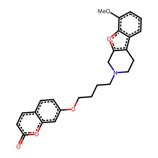 COc1cccc2c3c(oc12)CN(CCCCOc1ccc2ccc(=O)oc2c1)CC3